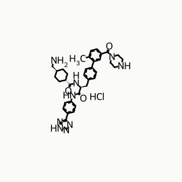 Cc1ccc(C(=O)N2CCNCC2)cc1-c1ccc(C[C@H](NC(=O)[C@H]2CC[C@H](CN)CC2)C(=O)Nc2ccc(-c3nn[nH]n3)cc2)cc1.Cl